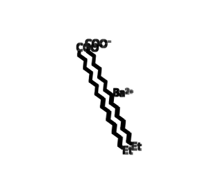 CCC=CC=CC=CC=CCCCCCCCC(=O)[O-].CCC=CC=CC=CC=CCCCCCCCC(=O)[O-].[Ba+2]